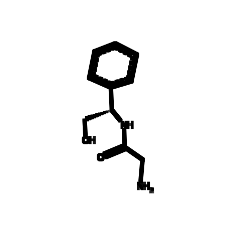 NCC(=O)N[C@H](CO)c1ccccc1